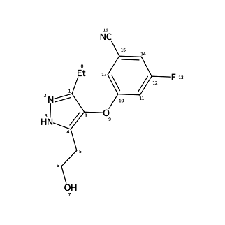 CCc1n[nH]c(CCO)c1Oc1cc(F)cc(C#N)c1